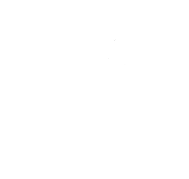 CC(C)(CCc1ccc(Cl)cc1)C(=O)Cl